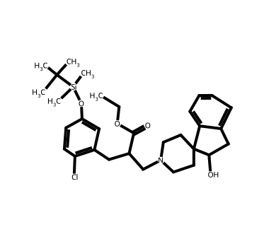 CCOC(=O)C(Cc1cc(O[Si](C)(C)C(C)(C)C)ccc1Cl)CN1CCC2(CC1)c1ccccc1CC2O